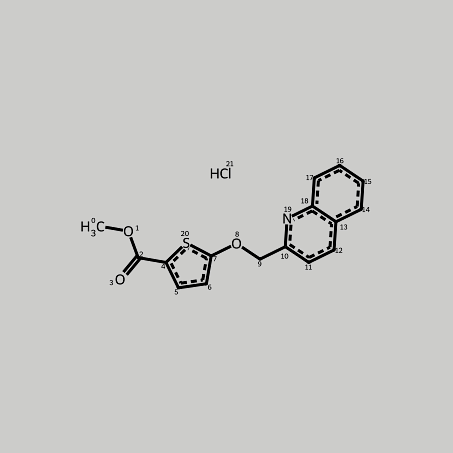 COC(=O)c1ccc(OCc2ccc3ccccc3n2)s1.Cl